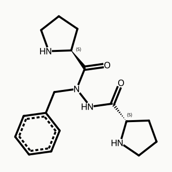 O=C(NN(Cc1ccccc1)C(=O)[C@@H]1CCCN1)[C@@H]1CCCN1